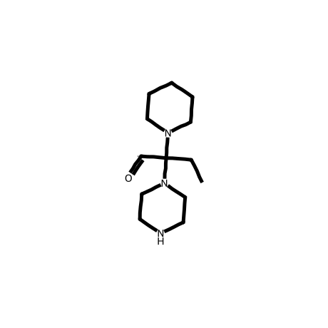 CCC([C]=O)(N1CCCCC1)N1CCNCC1